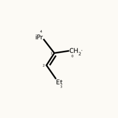 [CH2]C(=CCC)C(C)C